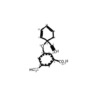 C#CC1(Oc2cc(C(=O)O)cc(C(=O)O)c2)C=CC=CC1